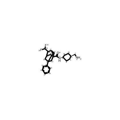 NC[C@H]1CC[C@H](NC(=O)C23CC4CC(c5ccccc5)(CC(C2)C4C(F)F)C3)CC1